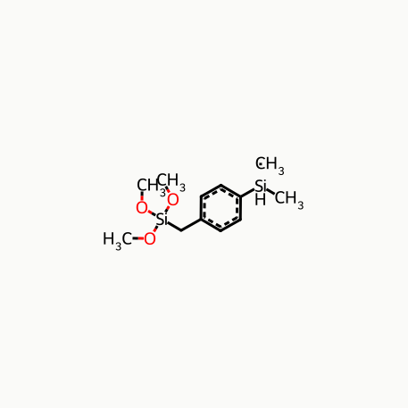 CO[Si](Cc1ccc([SiH](C)C)cc1)(OC)OC